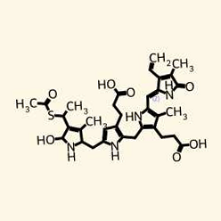 C=CC1=C(C)C(=O)N/C1=C\c1[nH]c(Cc2[nH]c(CC3NC(O)C(C(C)SC(C)=O)=C3C)cc2CCC(=O)O)c(CCC(=O)O)c1C